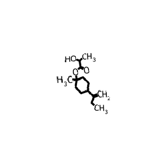 C=C(CC)C1CCC(C)(OC(=O)C(C)O)CC1